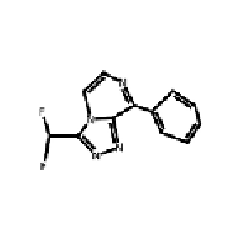 FC(F)c1nnc2c(-c3ccccc3)nccn12